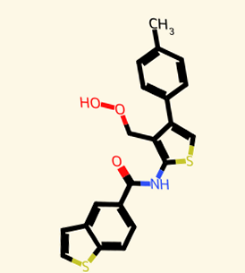 Cc1ccc(-c2csc(NC(=O)c3ccc4sccc4c3)c2COO)cc1